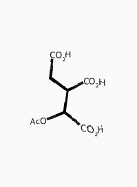 CC(=O)OC(C(=O)O)C(CC(=O)O)C(=O)O